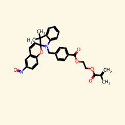 C=C(C)C(=O)OCCOC(=O)c1ccc(CN2c3ccccc3C(C)(C)C23C=Cc2cc(N=O)ccc2O3)cc1